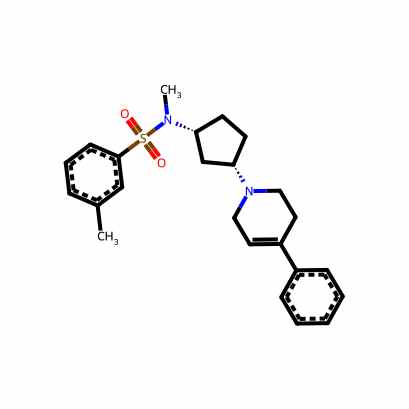 Cc1cccc(S(=O)(=O)N(C)[C@@H]2CC[C@H](N3CC=C(c4ccccc4)CC3)C2)c1